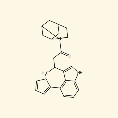 CC(CC(=O)N1C2C[C]3CC(C2)CC1C3)c1c[nH]c2cccc(-c3cccs3)c12